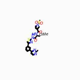 COCC(NC(=O)c1ccn(S(C)(=O)=O)c1)C(=O)Nc1nc(-c2cccc(-c3ccnc(C)n3)c2)cs1